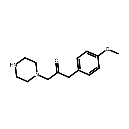 COc1ccc(CC(=O)CN2CCNCC2)cc1